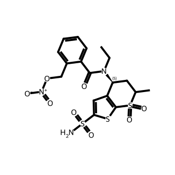 CCN(C(=O)c1ccccc1CO[N+](=O)[O-])[C@H]1CC(C)S(=O)(=O)c2sc(S(N)(=O)=O)cc21